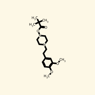 COc1ccc(CCN2CCN(OC(=O)C(C)(C)C)CC2)cc1OC